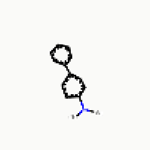 CCCCN(CCCC)c1ccc(-c2ccccc2)cc1